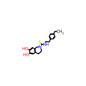 CCc1ccc(CCNC(=S)N2CCCc3cc(O)c(O)cc3C2)cc1